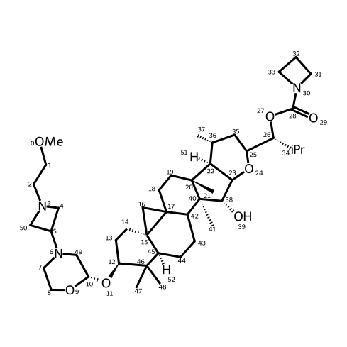 COCCN1CC(N2CCO[C@@H](O[C@H]3CC[C@]45CC46CC[C@]4(C)[C@@H]7C(OC([C@H](OC(=O)N8CCC8)C(C)C)C[C@H]7C)[C@H](O)[C@@]4(C)C6CC[C@H]5C3(C)C)C2)C1